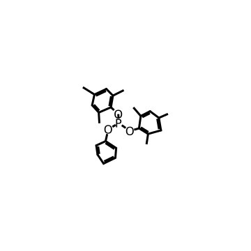 Cc1cc(C)c(OP(Oc2ccccc2)Oc2c(C)cc(C)cc2C)c(C)c1